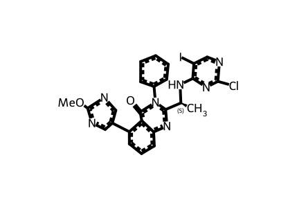 COc1ncc(-c2cccc3nc([C@H](C)Nc4nc(Cl)ncc4I)n(-c4ccccc4)c(=O)c23)cn1